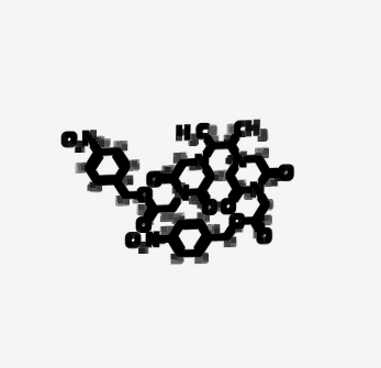 CC(C(C)N1CC(=O)N(CC(=O)OCc2ccc([N+](=O)[O-])cc2)C(=O)C1)N1CC(=O)N(CC(=O)OCc2ccc([N+](=O)[O-])cc2)C(=O)C1